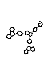 c1ccc(-c2ccc(-n3cc(-c4ccc(-c5cc6ccccc6c6ccccc56)cc4)c4cc(-c5ccc(-c6cc7ccccc7c7ccccc67)cc5)ccc43)cc2)cc1